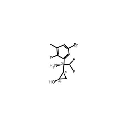 Cc1cc(Br)cc([C@](N)(C(F)F)[C@H]2C[C@H]2O)c1F